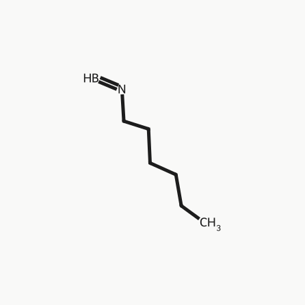 B=NCCCCCC